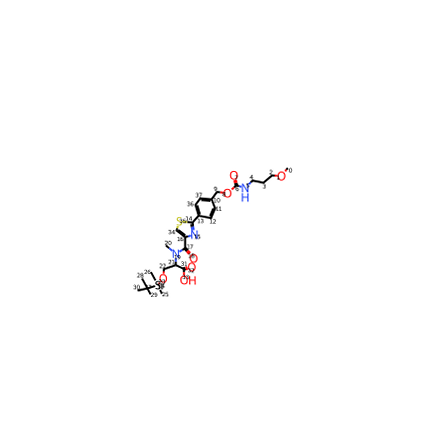 COCCCNC(=O)OCc1ccc(-c2nc(C(=O)N(C)C(CO[Si](C)(C)C(C)(C)C)C(=O)O)cs2)cc1